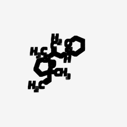 C=CC1(C)CCC[Si](C)(C(=C)C[SiH]2CCCCO2)O1